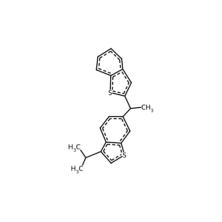 CC(C)c1csc2cc(C(C)c3cc4ccccc4s3)ccc12